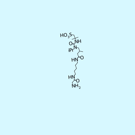 CC(CC(=O)NCCCCCNC(=O)CN)CN(C(=O)NC(C)(C)CS(=O)(=O)O)C(C)C